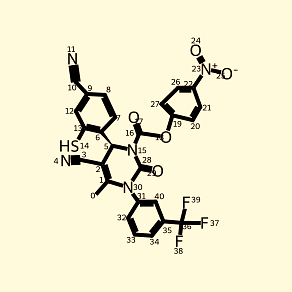 CC1=C(C#N)[C@@H](c2ccc(C#N)cc2S)N(C(=O)Oc2ccc([N+](=O)[O-])cc2)C(=O)N1c1cccc(C(F)(F)F)c1